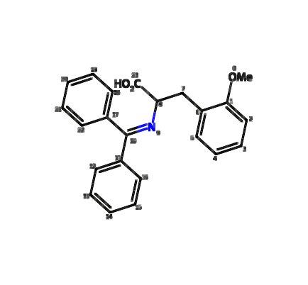 COc1ccccc1CC(N=C(c1ccccc1)c1ccccc1)C(=O)O